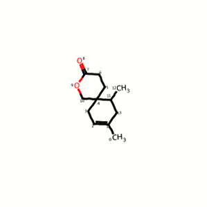 CC1=CCC2(CCC(=O)OC2)C(C)C1